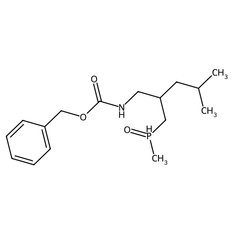 CC(C)CC(CNC(=O)OCc1ccccc1)C[PH](C)=O